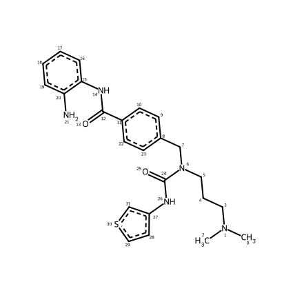 CN(C)CCCN(Cc1ccc(C(=O)Nc2ccccc2N)cc1)C(=O)Nc1ccsc1